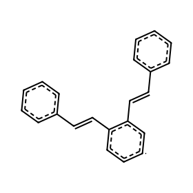 [c]1ccc(/C=C/c2ccccc2)c(/C=C/c2ccccc2)c1